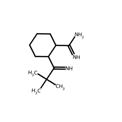 CC(C)(C)C(=N)C1CCCCC1C(=N)N